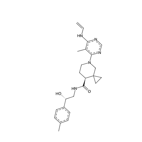 C=CNc1ncnc(N2CC[C@H](C(=O)NC[C@@H](O)c3ccc(C)cc3)C3(CC3)C2)c1C